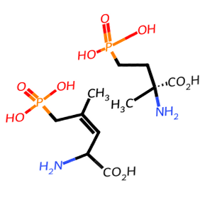 CC(=CC(N)C(=O)O)CP(=O)(O)O.C[C@](N)(CCP(=O)(O)O)C(=O)O